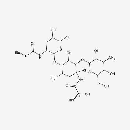 CCC[C@H](O)C(=O)NC1(C)CC(C)C(OC2OC(CC)C(O)CC2NC(=O)OC(C)(C)C)C(O)C1OC1OC(CO)C(O)C(N)C1O